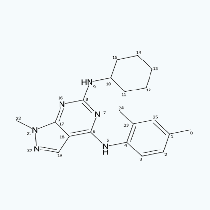 Cc1ccc(Nc2nc(NC3CCCCC3)nc3c2cnn3C)c(C)c1